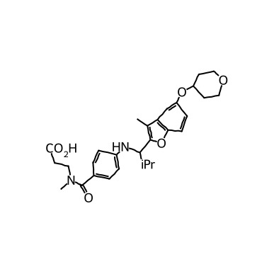 Cc1c(C(Nc2ccc(C(=O)N(C)CCC(=O)O)cc2)C(C)C)oc2ccc(OC3CCOCC3)cc12